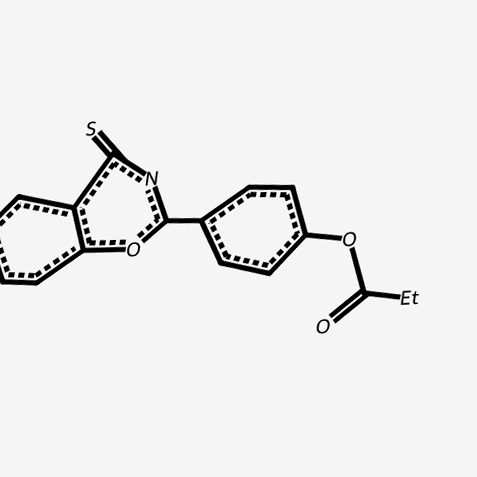 CCC(=O)Oc1ccc(-c2nc(=S)c3ccccc3o2)cc1